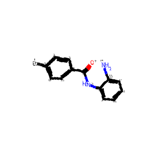 [CH2]Cc1ccc(C(=O)Nc2ccccc2N)cc1